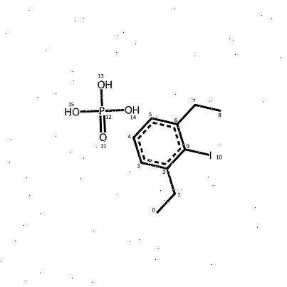 CCc1cccc(CC)c1I.O=P(O)(O)O